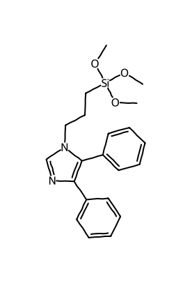 CO[Si](CCCn1cnc(-c2ccccc2)c1-c1ccccc1)(OC)OC